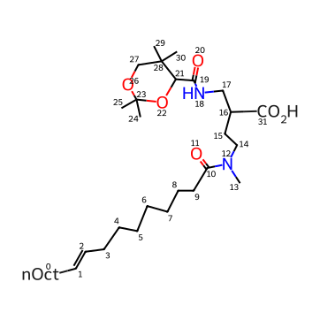 CCCCCCCCC=CCCCCCCCC(=O)N(C)CCC(CNC(=O)C1OC(C)(C)OCC1(C)C)C(=O)O